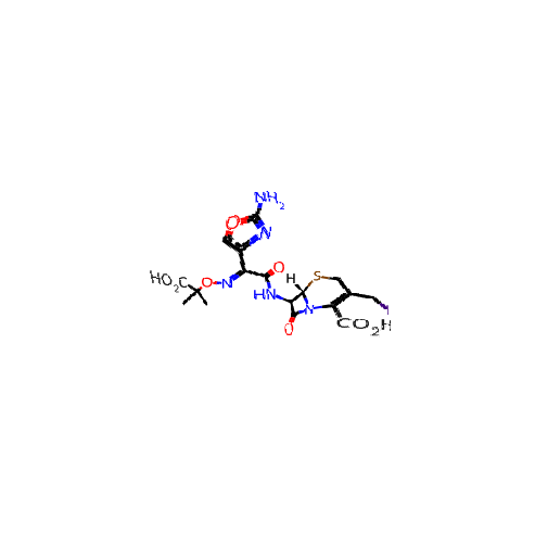 CC(C)(ON=C(C(=O)NC1C(=O)N2C(C(=O)O)=C(CI)CS[C@@H]12)c1coc(N)n1)C(=O)O